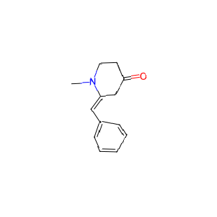 CN1CCC(=O)C/C1=C\c1ccccc1